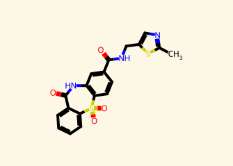 Cc1ncc(CNC(=O)c2ccc3c(c2)NC(=O)c2ccccc2S3(=O)=O)s1